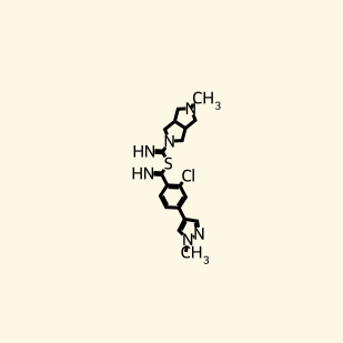 CN1CC2CN(C(=N)SC(=N)c3ccc(-c4cnn(C)c4)cc3Cl)CC2C1